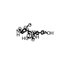 CNC(=O)n1ccc2cc(Oc3ccnc(NC(=O)c4ccc(C5CCN(CCO)CC5)cc4)c3)c(OCCOC)cc21.O=C(O)CCC(=O)O